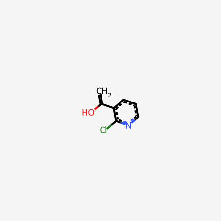 C=C(O)c1cccnc1Cl